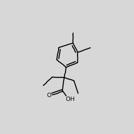 CCC(CC)(C(=O)O)c1ccc(C)c(C)c1